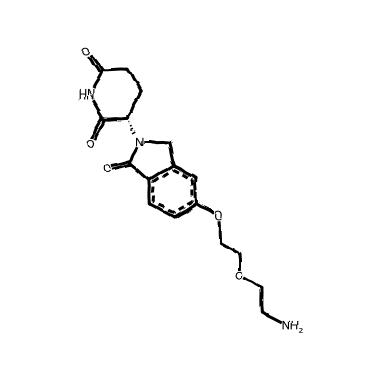 NCCOCCOc1ccc2c(c1)CN([C@H]1CCC(=O)NC1=O)C2=O